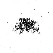 CC[C@H](C)[C@H](NC(=O)CN)C(=O)N[C@@H](CC(N)=O)C(=O)N[C@@H](C)C(=O)N[C@@H](CCC(=O)O)C(=O)N[C@@H](CC(N)=O)C(=O)N[C@@H](CC(N)=O)C(=O)N[C@@H](CCC(N)=O)C(=O)N[C@@H](CCCNC(=N)N)C(=O)N[C@@H](CC(N)=O)C(=O)O